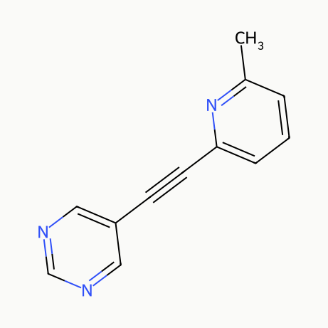 Cc1cccc(C#Cc2cncnc2)n1